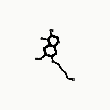 COc1cc2c(Cl)c(C#N)cnc2cc1OCCCCCl